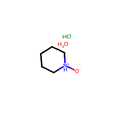 Cl.O.[O-][NH+]1CCCCC1